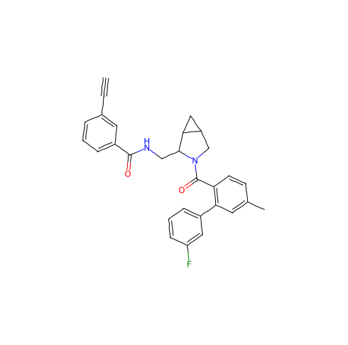 C#Cc1cccc(C(=O)NCC2C3CC3CN2C(=O)c2ccc(C)cc2-c2cccc(F)c2)c1